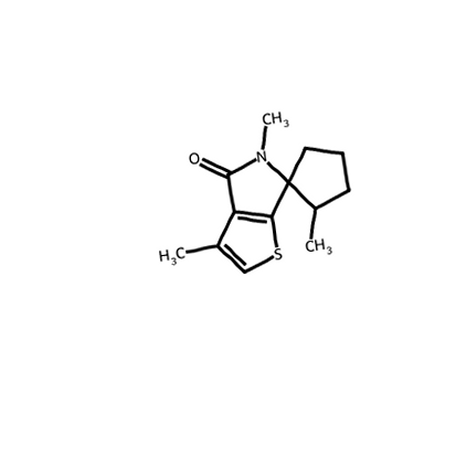 Cc1csc2c1C(=O)N(C)C21CCCC1C